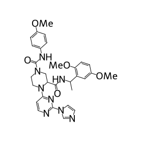 COc1ccc(NC(=O)N2CCN(c3ccnc(-n4ccnc4)n3)C(C(=O)NC(C)c3cc(OC)ccc3OC)C2)cc1